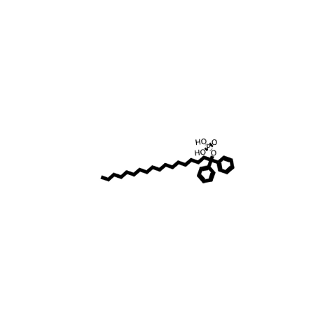 CCCCCCCCCCCCCCCCCC(OP(=O)(O)O)(c1ccccc1)c1ccccc1